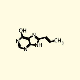 C/C=C/c1nc2c(O)ncnc2[nH]1